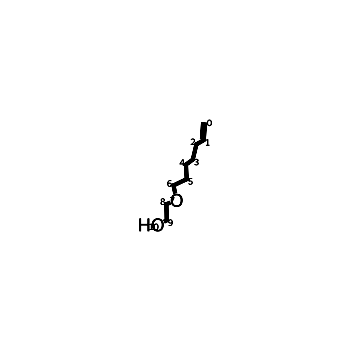 C=CCCCCCOCCO